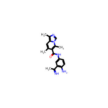 CC(=N)c1cc(NC(=O)c2c(C)cc3c(C)ncn3c2C)ccc1N